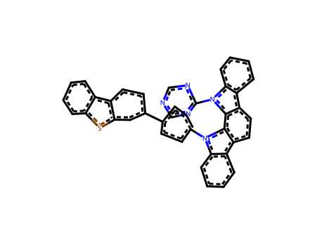 c1ccc2c(c1)sc1cc(-c3ccc(-n4c5ccccc5c5ccc6c7ccccc7n(-c7ncncn7)c6c54)cc3)ccc12